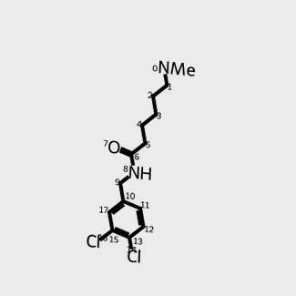 CNCCCCCC(=O)NCc1ccc(Cl)c(Cl)c1